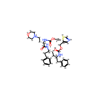 CC(C)(C)OC(=O)N[C@@H](CCN1CCOCC1)C(=O)N[C@H](CC[C@H](Cc1ccccc1)NC(=O)OCc1cncs1)Cc1ccccc1